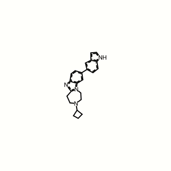 c1cc2cc(-c3ccc4nc5n(c4c3)CCN(C3CCC3)CC5)ccc2[nH]1